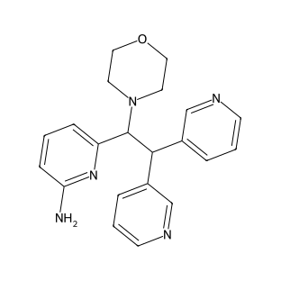 Nc1cccc(C(C(c2cccnc2)c2cccnc2)N2CCOCC2)n1